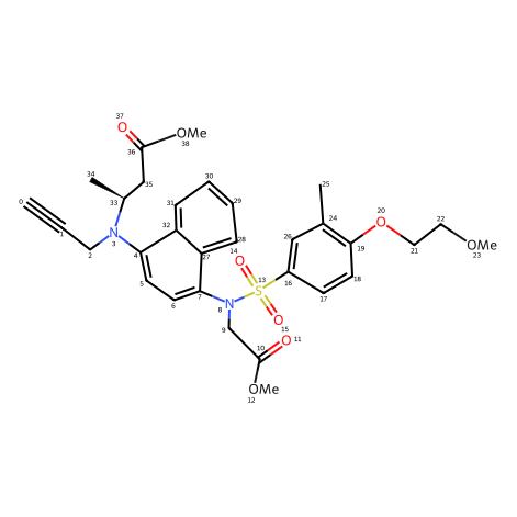 C#CCN(c1ccc(N(CC(=O)OC)S(=O)(=O)c2ccc(OCCOC)c(C)c2)c2ccccc12)[C@@H](C)CC(=O)OC